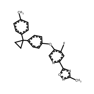 Cc1ccc(C2(c3ccc(Oc4cnc(-c5nc(C)no5)cc4F)cc3)CC2)cc1